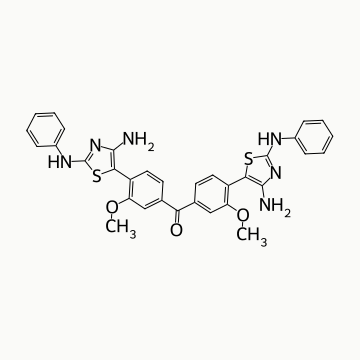 COc1cc(C(=O)c2ccc(-c3sc(Nc4ccccc4)nc3N)c(OC)c2)ccc1-c1sc(Nc2ccccc2)nc1N